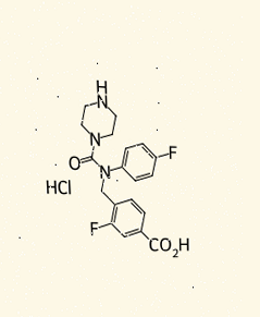 Cl.O=C(O)c1ccc(CN(C(=O)N2CCNCC2)c2ccc(F)cc2)c(F)c1